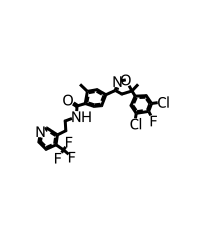 Cc1cc(C2=NOC(C)(c3cc(Cl)c(F)c(Cl)c3)C2)ccc1C(=O)NCCc1cnccc1C(F)(F)F